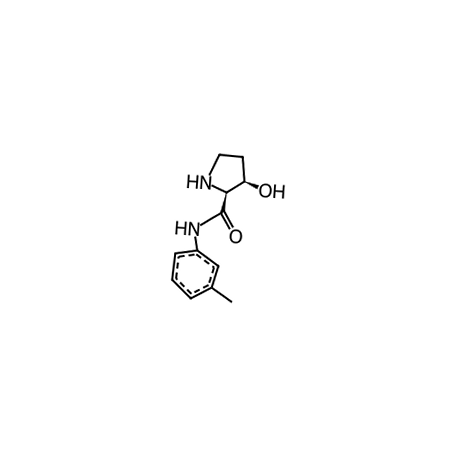 Cc1cccc(NC(=O)[C@H]2NCC[C@H]2O)c1